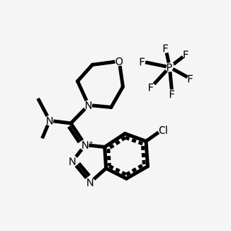 CN(C)C(N1CCOCC1)=[N+]1N=Nc2ccc(Cl)cc21.F[P-](F)(F)(F)(F)F